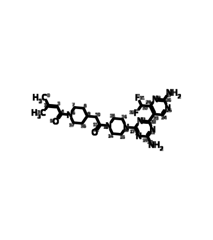 CC(C)=CC(=O)N1CCC(CC(=O)N2CCN(c3nc(N)nc(-c4cnc(N)nc4C(F)F)n3)CC2)CC1